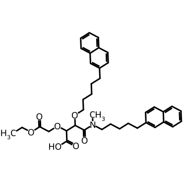 CCOC(=O)COC(C(=O)O)C(OCCCCCc1ccc2ccccc2c1)C(=O)N(C)CCCCCc1ccc2ccccc2c1